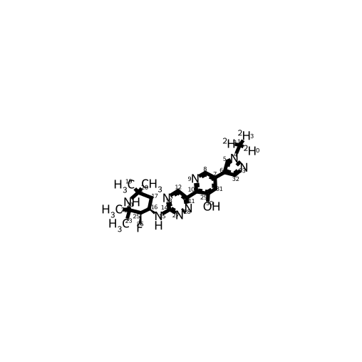 [2H]C([2H])([2H])n1cc(-c2cnc(-c3cnc(N[C@@H]4CC(C)(C)NC(C)(C)[C@@H]4F)nn3)c(O)c2)cn1